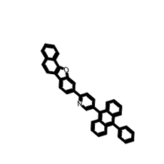 c1ccc(-c2c3ccccc3c(-c3ccc(-c4ccc5c(c4)oc4c6ccccc6ccc54)nc3)c3ccccc23)cc1